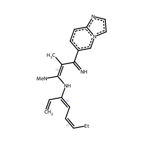 C=C/C(=C\C=C/CC)N/C(NC)=C(/C)C(=N)c1ccc2nccn2c1